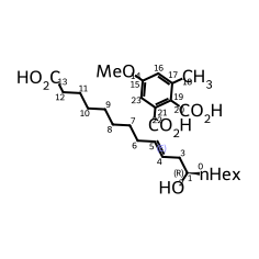 CCCCCC[C@@H](O)C/C=C/CCCCCCCC(=O)O.COc1cc(C)c(C(=O)O)c(C(=O)O)c1